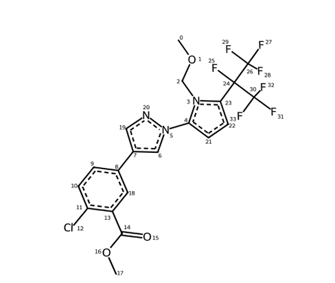 COCn1c(-n2cc(-c3ccc(Cl)c(C(=O)OC)c3)cn2)ccc1C(F)(C(F)(F)F)C(F)(F)F